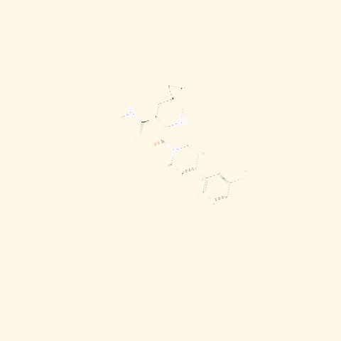 O=C(NO)[C@H]1CC2(CC2)CN[C@@H]1C(=O)N1CC=C(c2cccc(OC(F)(F)F)c2)CC1